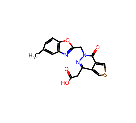 Cc1ccc2oc(Cn3nc(CC(=O)O)c4cscc4c3=O)nc2c1